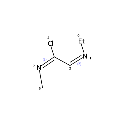 CC/N=C\C(Cl)=N/C